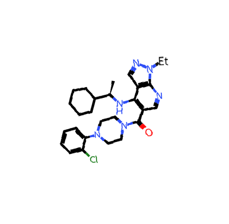 CCn1ncc2c(N[C@H](C)C3CCCCC3)c(C(=O)N3CCN(c4ccccc4Cl)CC3)cnc21